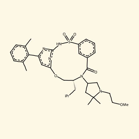 COCCN1CC(N2C(=O)c3cccc(c3)S(=O)(=O)Nc3nc(cc(-c4c(C)cccc4C)n3)OC[C@H]2CC(C)C)CC1(C)C